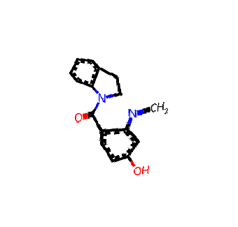 C=Nc1cc(O)ccc1C(=O)N1CCc2ccccc21